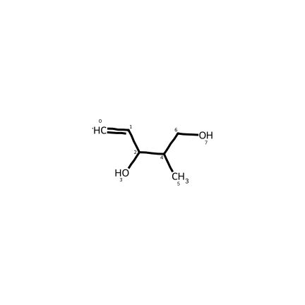 [CH]=CC(O)C(C)CO